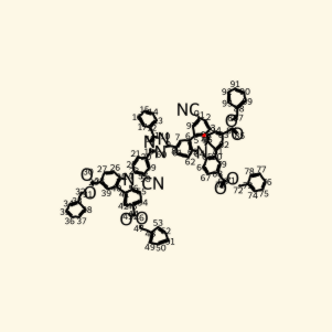 N#Cc1cccc(-c2cc(-c3nc(-c4ccccc4)nc(-c4ccc(-n5c6ccc(C(=O)OCc7ccccc7)cc6c6cc(C(=O)OCc7ccccc7)ccc65)c(C#N)c4)n3)ccc2-n2c3ccc(C(=O)OCc4ccccc4)cc3c3cc(C(=O)OCc4ccccc4)ccc32)c1